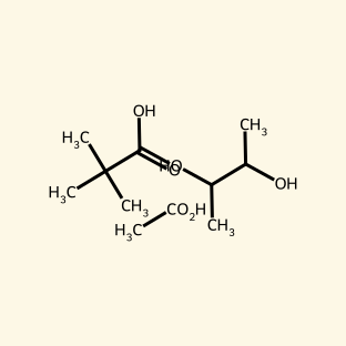 CC(=O)O.CC(C)(C)C(=O)O.CC(O)C(C)O